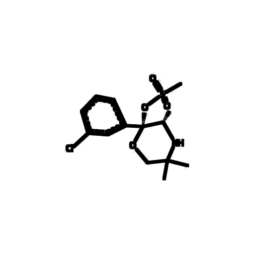 C[C@@H]1NC(C)(C)CO[C@@]1(OS(C)(=O)=O)c1cccc(Cl)c1